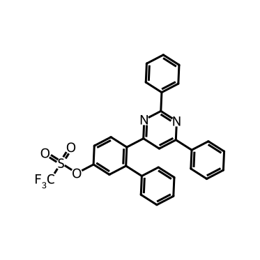 O=S(=O)(Oc1ccc(-c2cc(-c3ccccc3)nc(-c3ccccc3)n2)c(-c2ccccc2)c1)C(F)(F)F